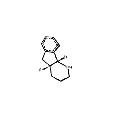 CC(C)[C@]12CCCN[C@H]1c1ccccc1C2